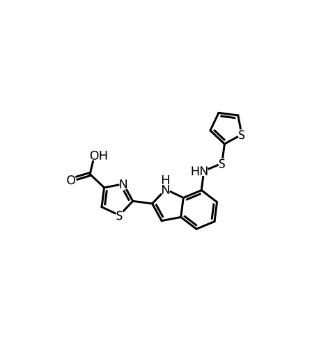 O=C(O)c1csc(-c2cc3cccc(NSc4cccs4)c3[nH]2)n1